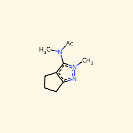 CC(=O)N(C)c1c2c(nn1C)CCC2